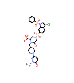 Cn1nc(N2CCC(CN3C(=O)CN(S(=O)(=O)c4ccc5c(Cl)cn(S(=O)(=O)c6ccccc6)c5c4)CC3C(=O)O)CC2)ccc1=O